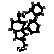 NC1=NC2(c3cccc(-c4cccnc4F)c3)CN(CC(F)(F)F)CC2CS1